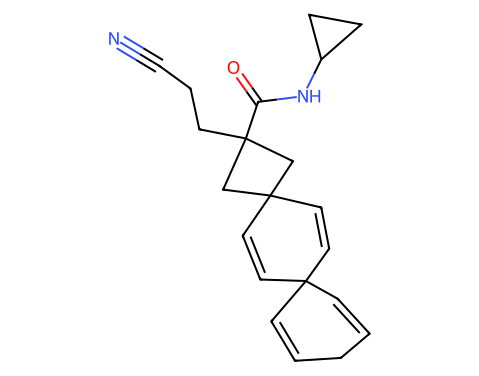 N#CCCC1(C(=O)NC2CC2)CC2(C=CC3(C=CCC=C3)C=C2)C1